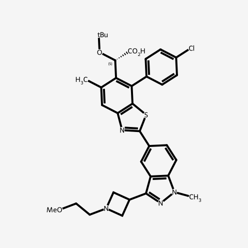 COCCN1CC(c2nn(C)c3ccc(-c4nc5cc(C)c([C@H](OC(C)(C)C)C(=O)O)c(-c6ccc(Cl)cc6)c5s4)cc23)C1